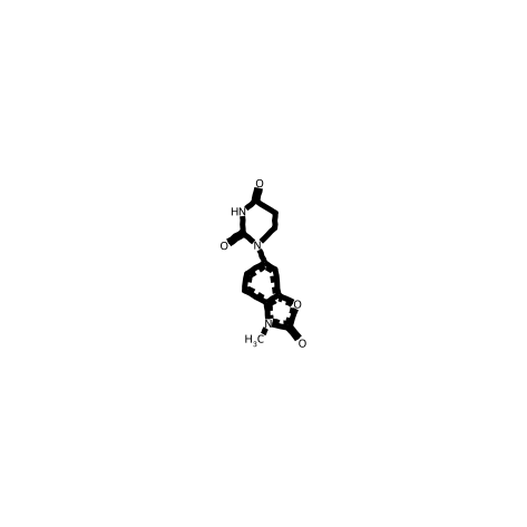 Cn1c(=O)oc2cc(N3CCC(=O)NC3=O)ccc21